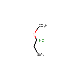 CSCCOC(=O)O.Cl